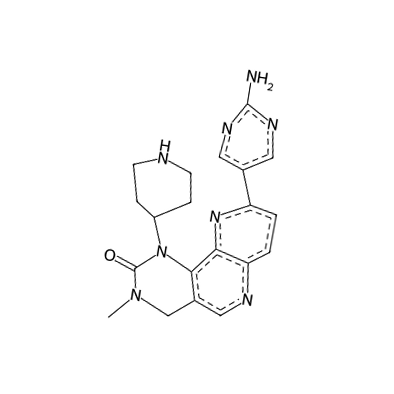 CN1Cc2cnc3ccc(-c4cnc(N)nc4)nc3c2N(C2CCNCC2)C1=O